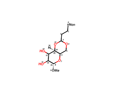 CCCCCCCCCCCC1OCC2O[C@H](OC)C(O)C(O)[C@H]2O1